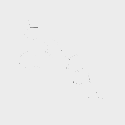 O=C(Nc1ccc(OC(F)(F)F)cc1)c1cnc(N2CCC(O)C2)c(-c2cnccc2F)c1